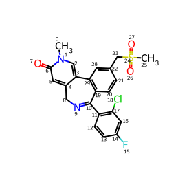 Cn1cc2c(cc1=O)CN=C(c1ccc(F)cc1Cl)c1ccc(CS(C)(=O)=O)cc1-2